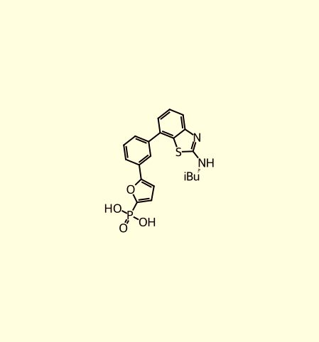 CC[C@@H](C)Nc1nc2cccc(-c3cccc(-c4ccc(P(=O)(O)O)o4)c3)c2s1